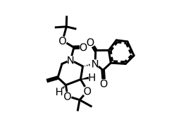 C=C1CN(C(=O)OC(C)(C)C)[C@H](N2C(=O)c3ccccc3C2=O)[C@@H]2OC(C)(C)O[C@@H]12